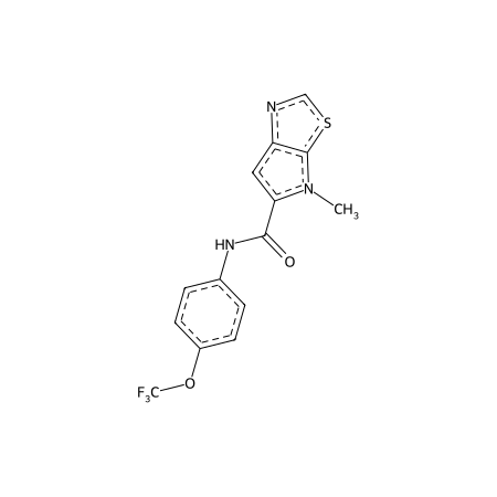 Cn1c(C(=O)Nc2ccc(OC(F)(F)F)cc2)cc2ncsc21